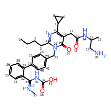 CCCCc1nc(C2CC2)c(CC(=O)NC(C)CN)c(=O)n1Cc1ccc(-c2ccccc2/C(=N/C)NC(=O)O)cc1